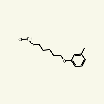 Cc1cccc(OCCCCCOPCl)c1